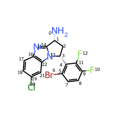 N[C@@H]1C[C@H](c2c(Br)ccc(F)c2F)n2c1nc1ccc(Cl)cc12